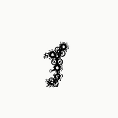 Cc1cc(S(=O)(=O)c2cn(S(=O)(=O)c3ccccc3)c3ccc(F)cc23)ccc1C1CCN(C(=O)OC(C)(C)C)C1